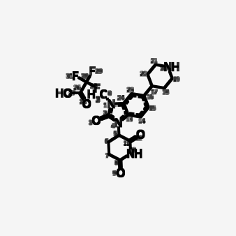 Cn1c(=O)n(C2CCC(=O)NC2=O)c2ccc(C3CCNCC3)cc21.O=C(O)C(F)(F)F